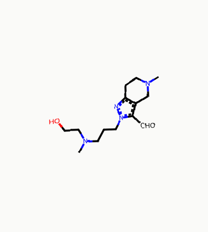 CN(CCO)CCCn1nc2c(c1C=O)CN(C)CC2